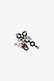 CCS(=O)(=O)N1C2CCC1CC(CN1C(=O)C(c3ccncc3)(c3ccncc3)N(C)C1=CC(=O)c1ccc(C#N)cc1)C2